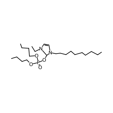 CCCCCCCCCCN1C=CN(CC)C1OP(=O)(OCCCC)OCCCC